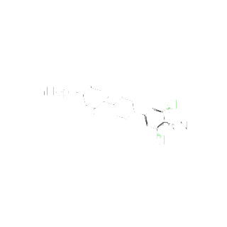 CCCCCCC[C@H]1CC[C@H]([C@H]2CC[C@H](c3cc(Cl)c(C#N)c(Cl)c3)CC2)CC1